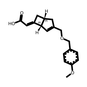 COc1ccc(COCC2=C[C@@H]3C(=CC(=O)O)C[C@@H]3C2)cc1